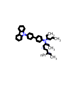 C=C/C=C(\C=C)N(C(/C=C\C/C(=C/C)CCC)=C/C)c1ccc(-c2ccc(-n3c4ccccc4c4ccccc43)cc2)cc1